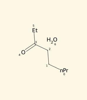 CCCCCC(=O)CC.O